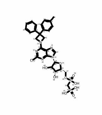 Cc1ccc(C2(c3ccccc3)CN(c3nc(Cl)nc4c3ncn4[C@@H]3O[C@H](COP(=O)(O)CP(=O)(O)O)[C@H](O)C3O)C2)cc1